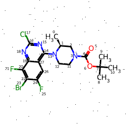 C[C@H]1CN(C(=O)OC(C)(C)C)CCN1c1nc(Cl)nc2c(F)c(Br)c(F)cc12